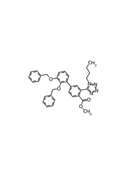 CCCCn1nnnc1-c1cc(-c2cccc(OCc3ccccc3)c2OCc2ccccc2)ccc1C(=O)OC